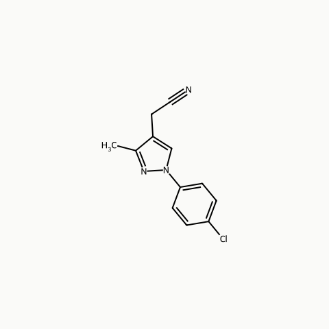 Cc1nn(-c2ccc(Cl)cc2)cc1CC#N